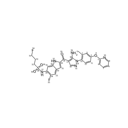 Cc1cc(Oc2ccccn2)ccc1-n1ncc(C(=O)c2cc3cc(F)c(NS(=O)(=O)CCCF)cc3[nH]2)c1N